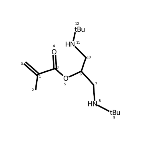 C=C(C)C(=O)OC(CNC(C)(C)C)CNC(C)(C)C